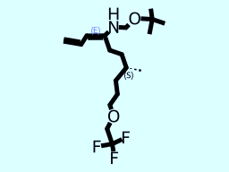 C=C/C=C(\CC[C@H](C)CCCOCC(F)(F)F)NCOC(C)(C)C